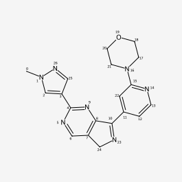 Cn1cc(-c2ncc3c(n2)C(c2ccnc(N4CCOCC4)c2)=NC3)cn1